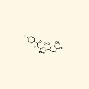 Cc1ccc(-c2n[nH]c(NC(=O)c3ccc(F)cc3)c2C=O)cc1C